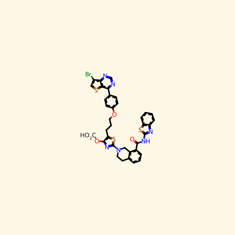 O=C(O)Oc1nc(N2CCc3cccc(C(=O)Nc4nc5ccccc5s4)c3C2)sc1CCCOc1ccc(-c2ncnc3c(Br)csc23)cc1